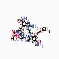 CCn1nc(C)cc1-c1ncc2c3cc(C(N)=O)cc(OCCCOC)c3n(CC=CCn3c(N)nc4cc(C(N)=O)cc(OCCCNC(=O)O)c43)c2n1